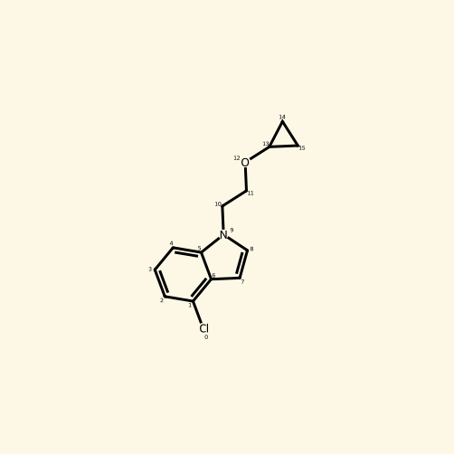 Clc1cccc2c1ccn2CCOC1CC1